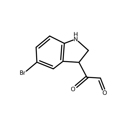 O=CC(=O)C1CNc2ccc(Br)cc21